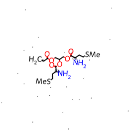 C=CC(=O)OCC(COC(=O)[C@@H](N)CCSC)OC(=O)[C@@H](N)CCSC